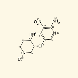 CCN1CCC(Nc2c(Cl)cnc(N)c2[N+](=O)[O-])CC1